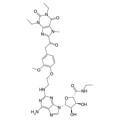 CCNC(=O)[C@H]1O[C@@H](n2cnc3c(N)nc(NCCOc4ccc(CC(=O)c5nc6c(c(=O)n(CC)c(=O)n6CC)n5C)cc4OC)nc32)[C@H](O)[C@@H]1O